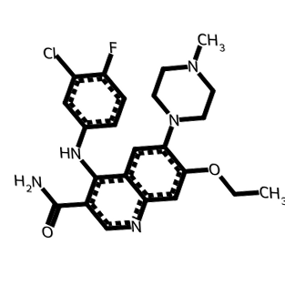 CCOc1cc2ncc(C(N)=O)c(Nc3ccc(F)c(Cl)c3)c2cc1N1CCN(C)CC1